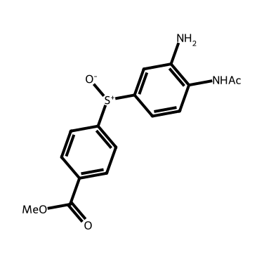 COC(=O)c1ccc([S+]([O-])c2ccc(NC(C)=O)c(N)c2)cc1